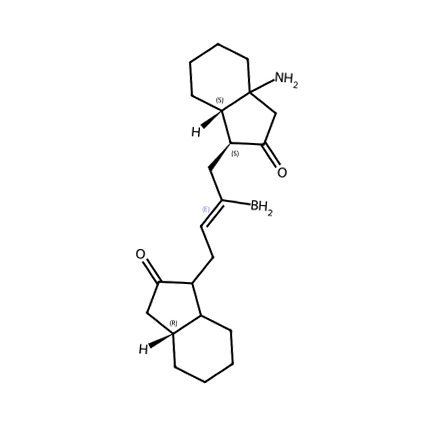 B/C(=C\CC1C(=O)C[C@H]2CCCCC12)C[C@@H]1C(=O)CC2(N)CCCC[C@@H]12